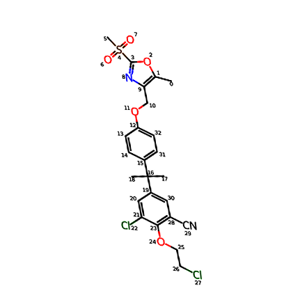 Cc1oc(S(C)(=O)=O)nc1COc1ccc(C(C)(C)c2cc(Cl)c(OCCCl)c(C#N)c2)cc1